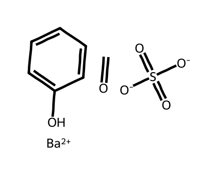 C=O.O=S(=O)([O-])[O-].Oc1ccccc1.[Ba+2]